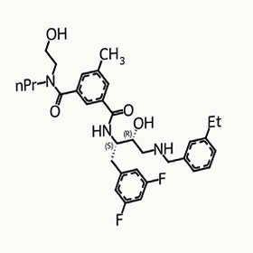 CCCN(CCO)C(=O)c1cc(C)cc(C(=O)N[C@@H](Cc2cc(F)cc(F)c2)[C@H](O)CNCc2cccc(CC)c2)c1